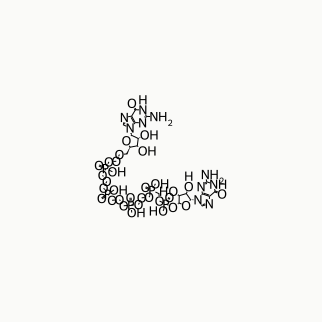 Nc1nc2c(ncn2[C@@H]2O[C@H](OP(=O)(O)OCP(=O)(O)OOOP(=O)(O)OOOP(=O)(O)OOOP(=O)(O)OOOC[C@H]3O[C@@H](n4cnc5c(=O)[nH]c(N)nc54)[C@H](O)[C@@H]3O)[C@@H](O)[C@H]2O)c(=O)[nH]1